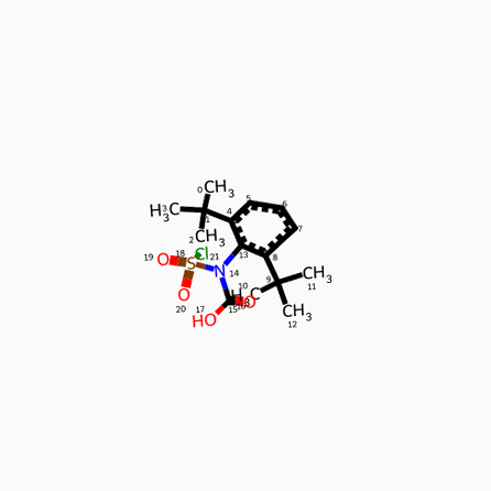 CC(C)(C)c1cccc(C(C)(C)C)c1N(C(=O)O)S(=O)(=O)Cl